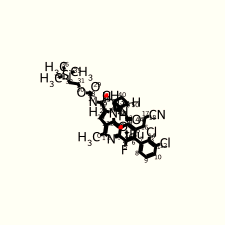 Cc1nc2c(F)c(-c3cccc(Cl)c3Cl)c(CCC#N)cc2c2c1cc([C@@H](C)NC(=O)OCC[Si](C)(C)C)n2[C@H]1[C@@H]2C[C@H]1N(C(=O)OC(C)(C)C)C2